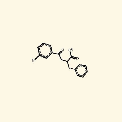 O=C(CC(Sc1ccccc1)C(=O)O)c1cccc(Br)c1